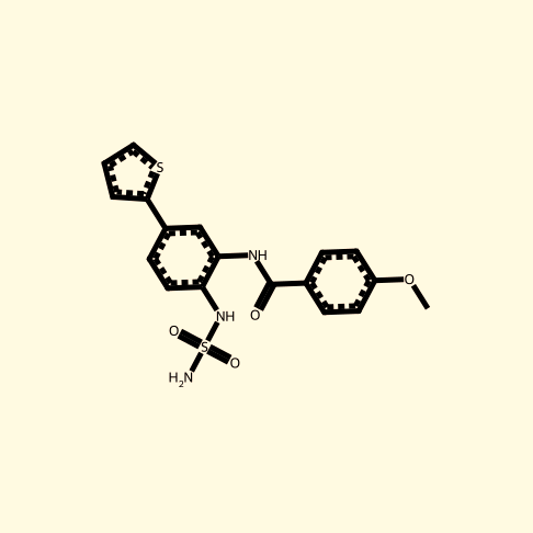 COc1ccc(C(=O)Nc2cc(-c3cccs3)ccc2NS(N)(=O)=O)cc1